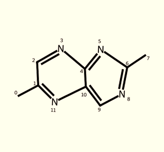 Cc1cnc2nc(C)ncc2n1